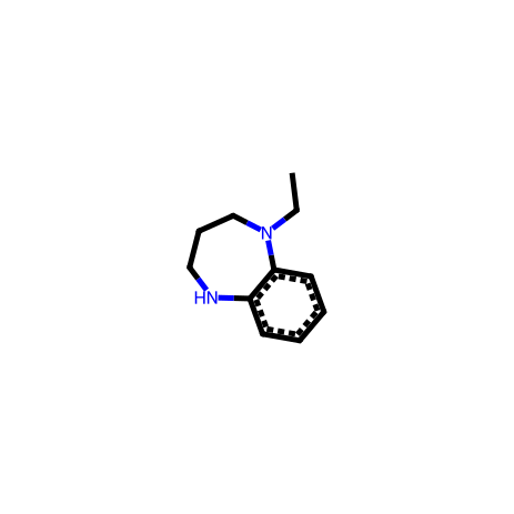 CCN1CCCNc2ccccc21